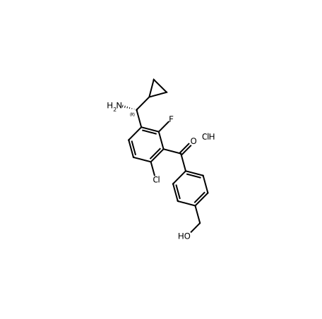 Cl.N[C@@H](c1ccc(Cl)c(C(=O)c2ccc(CO)cc2)c1F)C1CC1